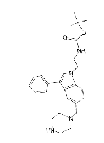 CC(C)(C)OC(=O)NCCn1cc(-c2ccccc2)c2cc(CN3CCNCC3)ccc21